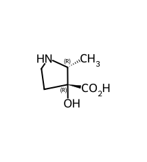 C[C@H]1NCC[C@]1(O)C(=O)O